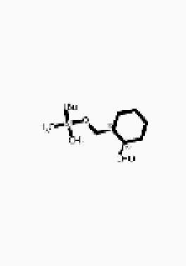 CC(C)(C)[Si](C)(C)OC[C@H]1CCCC[C@H]1C=O